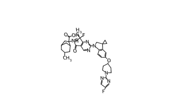 CC1CC2CC(C1)C(NC(=O)c1cnc(N3CC4(CC4)c4cc(OC5CCN(c6ncc(F)cn6)CC5)ccc43)nc1C(C)(F)F)(C(=O)O)C2